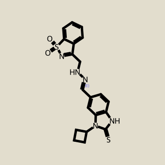 O=S1(=O)N=C(CN/N=C/c2ccc3[nH]c(=S)n(C4CCC4)c3c2)c2ccccc21